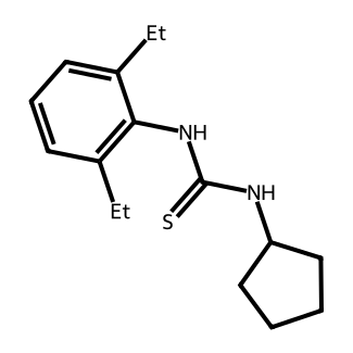 CCc1cccc(CC)c1NC(=S)NC1CCCC1